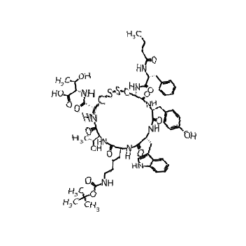 CCCC(=O)N[C@H](Cc1ccccc1)C(=O)N[C@H]1CSSC[C@@H](C(=O)N[C@H](C(=O)O)[C@@H](C)O)NC(=O)[C@H]([C@@H](C)O)NC(=O)[C@H](CCCCNC(=O)OC(C)(C)C)NC(=O)[C@@H](Cc2c[nH]c3ccccc23)NC(=O)[C@H](Cc2ccc(O)cc2)NC1=O